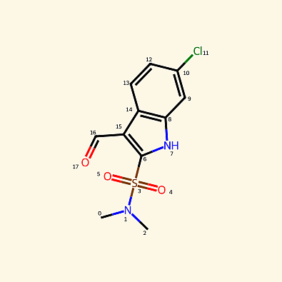 CN(C)S(=O)(=O)c1[nH]c2cc(Cl)ccc2c1C=O